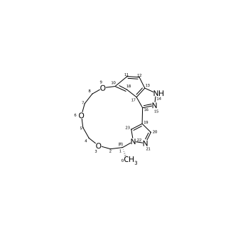 C[C@@H]1COCCOCCOc2ccc3[nH]nc(c3c2)-c2cnn1c2